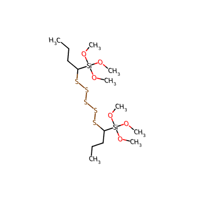 CCCC(SSSSSC(CCC)[Si](OC)(OC)OC)[Si](OC)(OC)OC